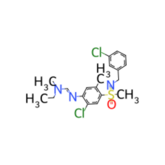 CCN(C)C=Nc1cc(C)c(S(C)(=O)=NCc2cccc(Cl)c2)cc1Cl